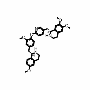 COc1ccc2c(c1)CCN[C@@H]2Cc1ccc(Oc2ccc(C[C@H]3NCCc4cc(OC)c(OC)cc43)cn2)c(OC)c1